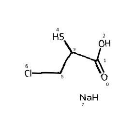 O=C(O)C(S)CCl.[NaH]